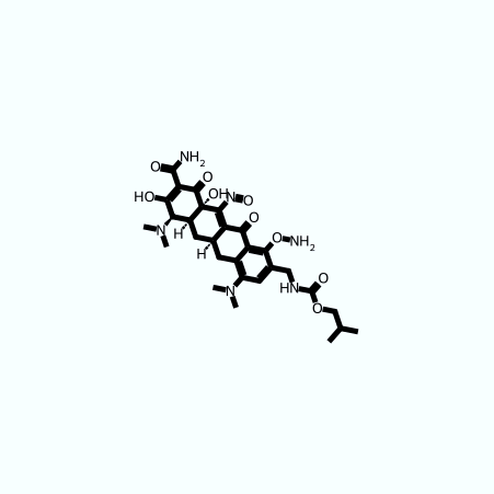 CC(C)COC(=O)NCc1cc(N(C)C)c2c(c1ON)C(=O)C1=C(N=O)[C@]3(O)C(=O)C(C(N)=O)=C(O)[C@H](N(C)C)[C@@H]3C[C@@H]1C2